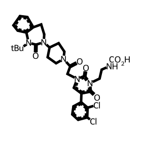 CC(C)(C)N1C(=O)N(C2CCN(C(=O)Cn3cc(-c4cccc(Cl)c4Cl)c(=O)n(CCNC(=O)O)c3=O)CC2)CCc2ccccc21